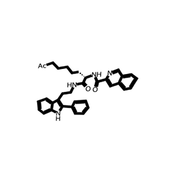 CC(=O)CCCCC[C@H](NC(=O)c1cc2ccccc2cn1)C(=O)NCCc1c(-c2ccccc2)[nH]c2ccccc12